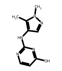 Cc1c(Nc2nccc(O)n2)cnn1C